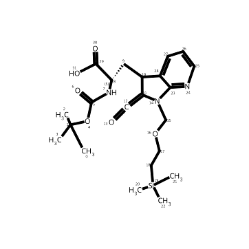 CC(C)(C)OC(=O)N[C@@H](CC1C(=C=O)N(COCC[Si](C)(C)C)c2ncccc21)C(=O)O